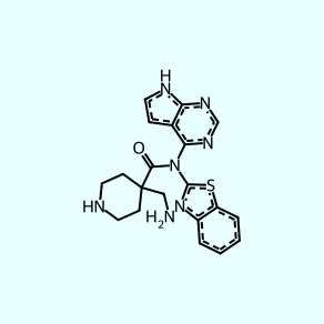 NCC1(C(=O)N(c2nc3ccccc3s2)c2ncnc3[nH]ccc23)CCNCC1